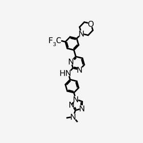 CN(C)c1ncn(-c2ccc(Nc3nccc(-c4cc(N5CCOCC5)cc(C(F)(F)F)c4)n3)cc2)n1